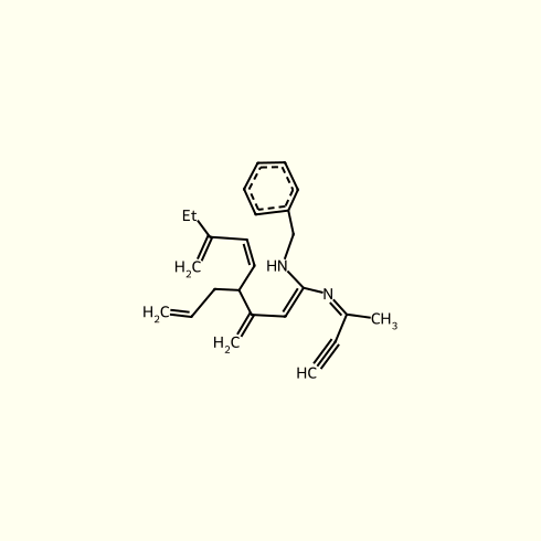 C#C/C(C)=N\C(=C\C(=C)C(/C=C\C(=C)CC)CC=C)NCc1ccccc1